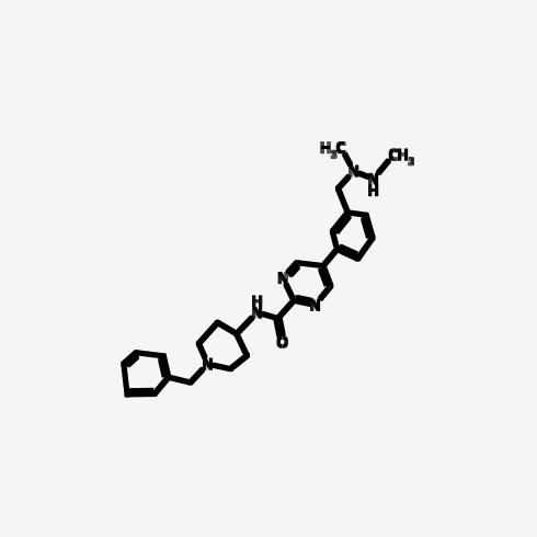 CNN(C)Cc1cccc(-c2cnc(C(=O)NC3CCN(Cc4ccccc4)CC3)nc2)c1